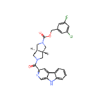 O=C(OCc1cc(Cl)cc(Cl)c1)N1C[C@@H]2CN(C(=O)c3cc4c(cn3)[nH]c3ccccc34)C[C@H]2C1